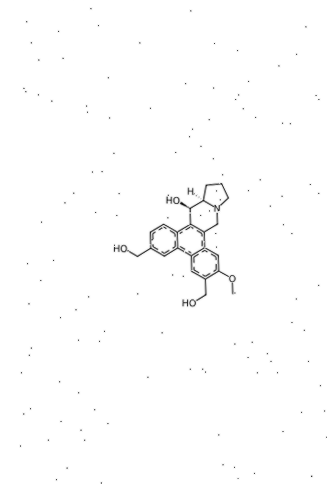 COc1cc2c3c(c4ccc(CO)cc4c2cc1CO)[C@@H](O)[C@H]1CCCN1C3